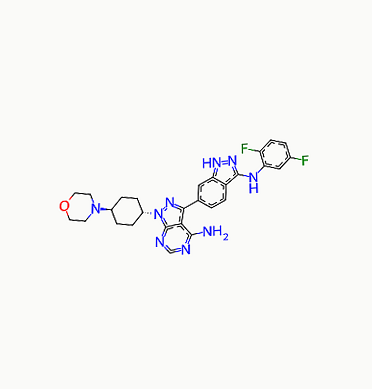 Nc1ncnc2c1c(-c1ccc3c(Nc4cc(F)ccc4F)n[nH]c3c1)nn2[C@H]1CC[C@H](N2CCOCC2)CC1